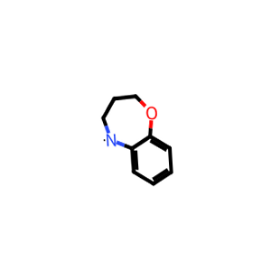 c1ccc2c(c1)[N]CCCO2